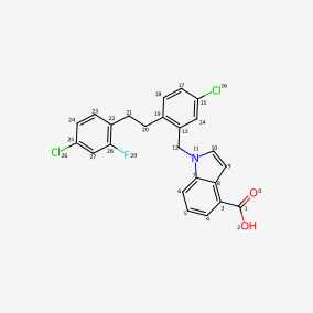 O=C(O)c1cccc2c1ccn2Cc1cc(Cl)ccc1CCc1ccc(Cl)cc1F